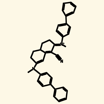 CN(C1=CC2=C(C#N)/C(=[N+](\C)c3ccc(-c4ccccc4)cc3)CCC2CC1)c1ccc(-c2ccccc2)cc1